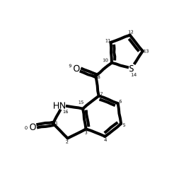 O=C1Cc2cccc(C(=O)c3cccs3)c2N1